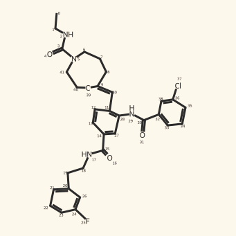 CCNC(=O)N1CCCC(=Cc2ccc(C(=O)NCCc3cccc(F)c3)cc2NC(=O)c2cccc(Cl)c2)CCC1